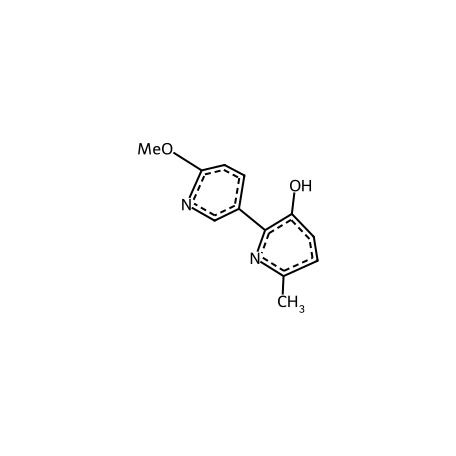 COc1ccc(-c2nc(C)ccc2O)cn1